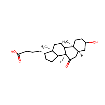 C[C@]12CCC3[C@@H](C(=O)C[C@@H]4C[C@H](O)CC[C@]34C)C1CC[C@@H]2CCCC(=O)O